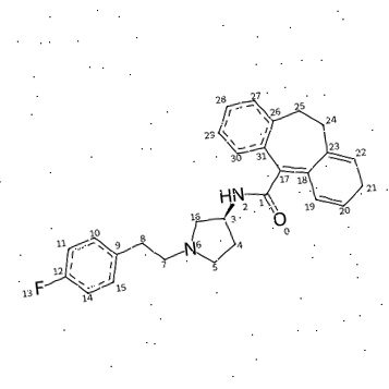 O=C(N[C@H]1CCN(CCc2ccc(F)cc2)C1)C1=C2C=CCC=C2CCc2ccccc21